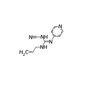 C=CCNC(=Nc1ccncc1)NC#N